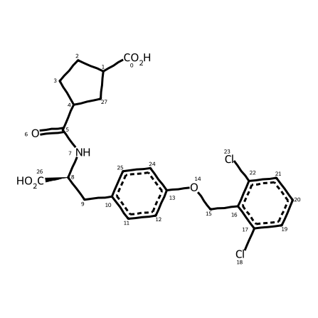 O=C(O)C1CCC(C(=O)N[C@@H](Cc2ccc(OCc3c(Cl)cccc3Cl)cc2)C(=O)O)C1